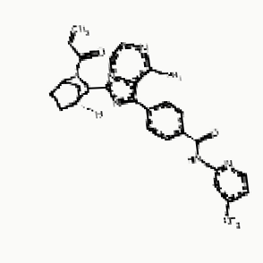 C=CC(=O)N1C2CC[C@@H](C2)C1c1nc(-c2ccc(C(=O)Nc3cc(C(F)(F)F)ccn3)cc2)c2c(N)nccn12